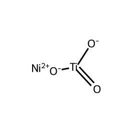 [Ni+2].[O]=[Ti]([O-])[O-]